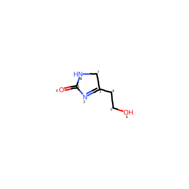 O=C1N=C(CCO)CN1